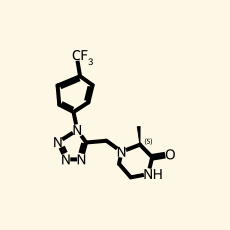 C[C@H]1C(=O)NCCN1Cc1nnnn1-c1ccc(C(F)(F)F)cc1